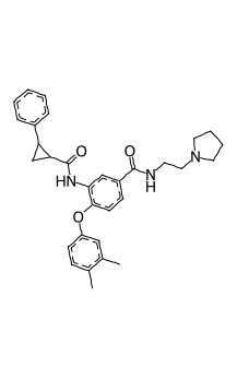 Cc1ccc(Oc2ccc(C(=O)NCCN3CCCC3)cc2NC(=O)C2CC2c2ccccc2)cc1C